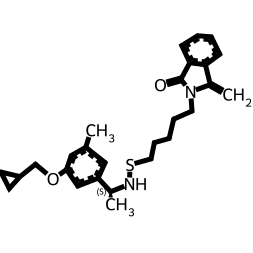 C=C1c2ccccc2C(=O)N1CCCCCSN[C@@H](C)c1cc(C)cc(OCC2CC2)c1